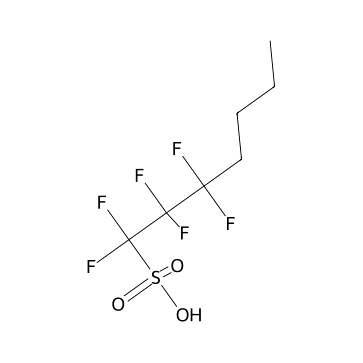 CCCCC(F)(F)C(F)(F)C(F)(F)S(=O)(=O)O